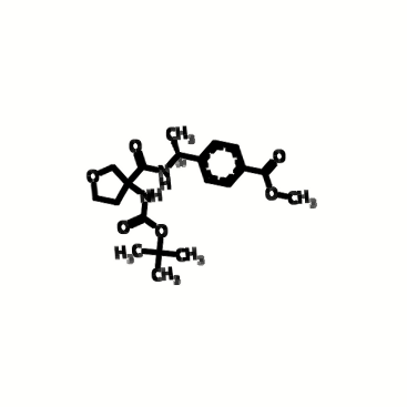 COC(=O)c1ccc([C@H](C)NC(=O)C2(NC(=O)OC(C)(C)C)CCOC2)cc1